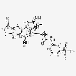 N=C1NC2[C@H](CN3C(=O)CCC3=O)NC(=N)N3C[C@H](NC(=O)Nc4cccc(C(F)(F)F)c4)[C@@H](O)C23N1